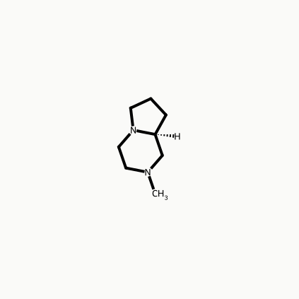 CN1CCN2CCC[C@H]2C1